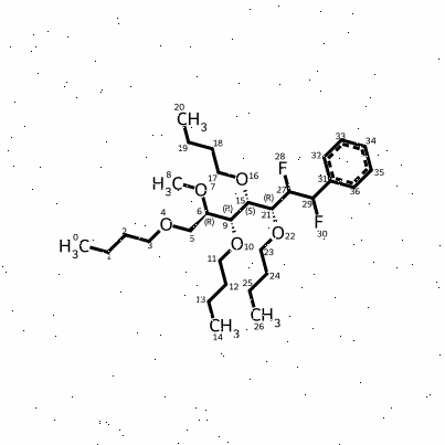 CCCCOC[C@@H](OC)[C@@H](OCCCC)[C@H](OCCCC)[C@@H](OCCCC)C(F)C(F)c1ccccc1